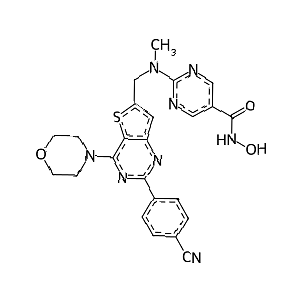 CN(Cc1cc2nc(-c3ccc(C#N)cc3)nc(N3CCOCC3)c2s1)c1ncc(C(=O)NO)cn1